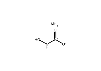 O=[N+]([O-])NO.[AlH3]